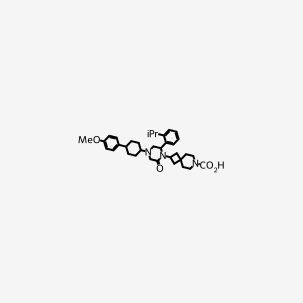 COc1ccc(C2CCC(N3CC(=O)N(C4CC5(CCN(C(=O)O)CC5)C4)C(c4ccccc4C(C)C)C3)CC2)cc1